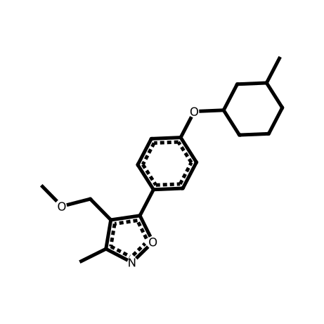 COCc1c(C)noc1-c1ccc(OC2CCCC(C)C2)cc1